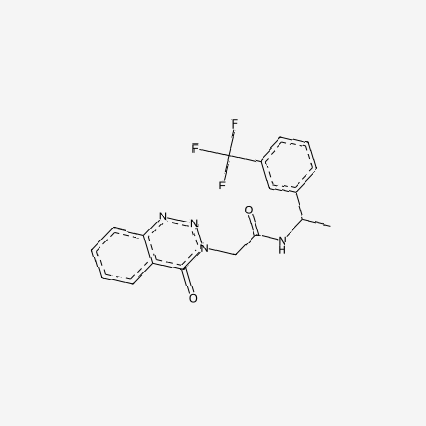 CC(NC(=O)Cn1nnc2ccccc2c1=O)c1cccc(C(F)(F)F)c1